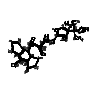 CC(C)(O)c1coc(SNC(=O)Nc2c3c(c(Cl)c4c2CCC4)CCC3)n1